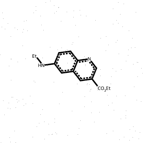 CCNc1ccc2ncc(C(=O)OCC)cc2c1